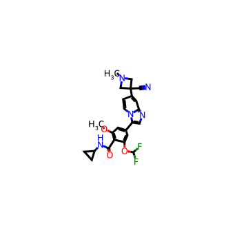 COc1cc(-c2cnc3cc(C4(C#N)CN(C)C4)ccn23)cc(OC(F)F)c1C(=O)NC1CC1